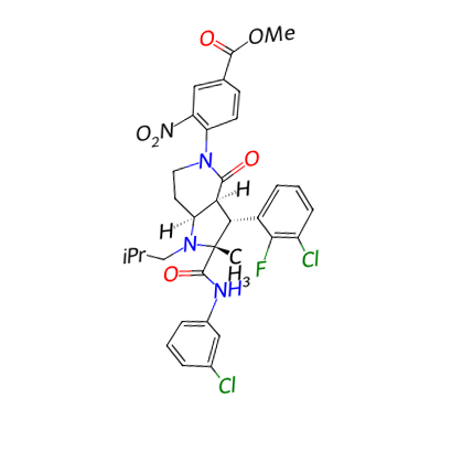 COC(=O)c1ccc(N2CC[C@H]3[C@@H](C2=O)[C@H](c2cccc(Cl)c2F)[C@](C)(C(=O)Nc2cccc(Cl)c2)N3CC(C)C)c([N+](=O)[O-])c1